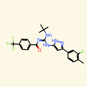 Cc1ccc(-c2cc(N/C(=N\C(=O)c3ccc(C(F)(F)F)cc3)NC(C)(C)C)[nH]n2)cc1F